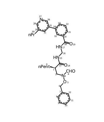 CCCCC[C@H](CN(C=O)OCc1ccccc1)C(=O)NCNC(=O)c1cccc(-c2cncc(CCC)c2)c1